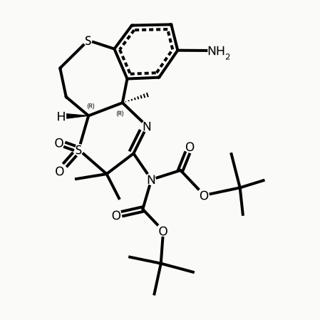 CC(C)(C)OC(=O)N(C(=O)OC(C)(C)C)C1=N[C@]2(C)c3cc(N)ccc3SCC[C@H]2S(=O)(=O)C1(C)C